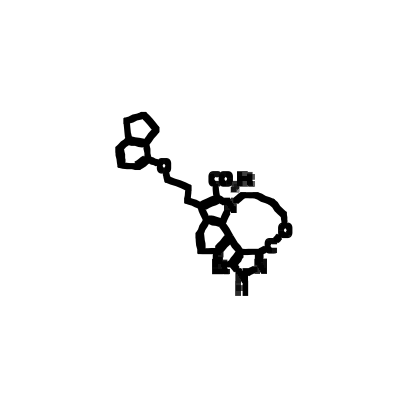 CCOC(=O)c1c(CCCOc2cccc3c2CCC3)c2ccc(F)c3c2n1CCCCOCc1n[nH]c(CC)c1-3